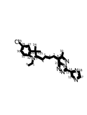 CCN1/C(=C/C=C/C=c2/c(C)nn3c(-c4cnccn4)nnc23)C(C)(C)c2cc(Cl)ccc21